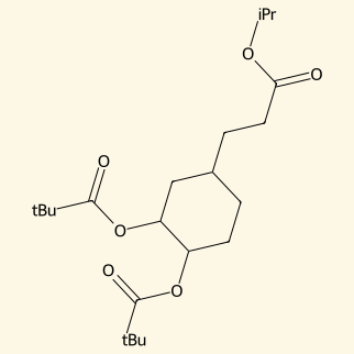 CC(C)OC(=O)CCC1CCC(OC(=O)C(C)(C)C)C(OC(=O)C(C)(C)C)C1